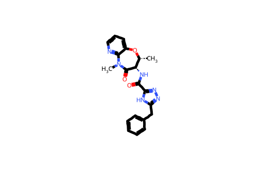 C[C@H]1Oc2cccnc2N(C)C(=O)[C@H]1NC(=O)c1nnc(Cc2ccccc2)[nH]1